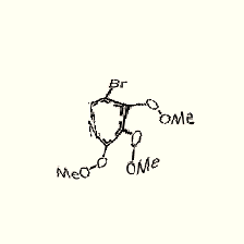 COOc1n[c]c(Br)c(OOC)c1OOC